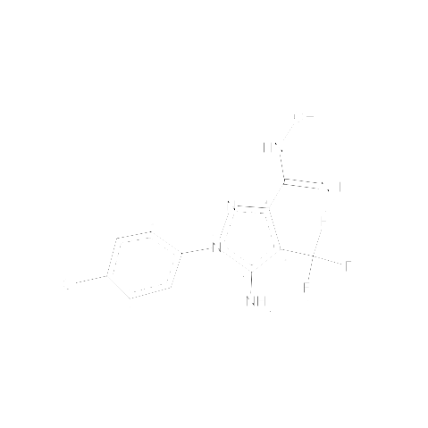 N=C(NO)c1nn(-c2ccc(Cl)cc2)c(N)c1C(F)(F)F